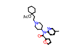 CC(=O)OC1(CCN2CCC(N(C(=O)c3ccco3)c3ccc(C)cn3)CC2)CCCCC1